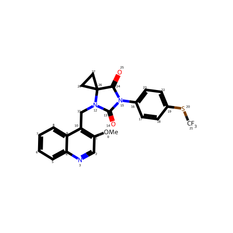 COc1cnc2ccccc2c1CN1C(=O)N(c2ccc(SC(F)(F)F)cc2)C(=O)C12CC2